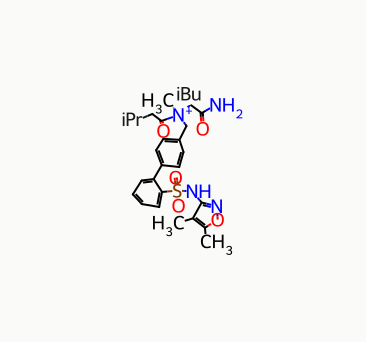 CC[C@H](C)[C@@H](C(N)=O)[N+](C)(Cc1ccc(-c2ccccc2S(=O)(=O)Nc2noc(C)c2C)cc1)C(=O)CC(C)C